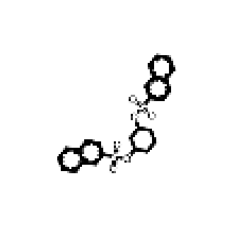 O=S(=O)(OC1CCCC(OS(=O)(=O)c2ccc3ccccc3c2)C1)c1ccc2ccccc2c1